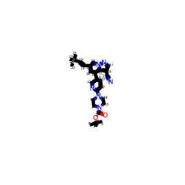 CC(C)(C)OC(=O)N1CCN(c2ccc(-c3cc(C#C[Si](C)(C)C)cn4ncc(C#N)c34)cn2)CC1